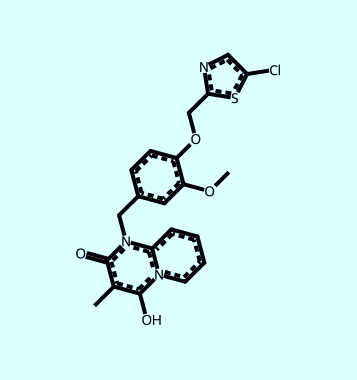 COc1cc(Cn2c(=O)c(C)c(O)[n+]3ccccc23)ccc1OCc1ncc(Cl)s1